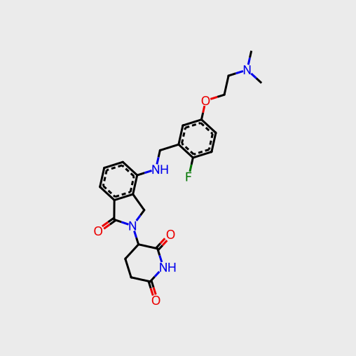 CN(C)CCOc1ccc(F)c(CNc2cccc3c2CN(C2CCC(=O)NC2=O)C3=O)c1